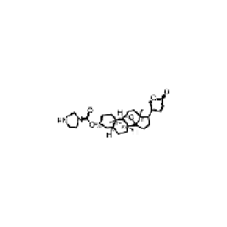 C[C@]12CC[C@H](OC(=O)N3CCNCC3)C[C@H]1CC[C@@H]1[C@@H]2CC[C@]2(C)C(c3ccc(=O)oc3)CCC12O